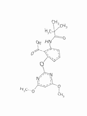 COc1cc(OC)nc(Oc2cccc(NC(=O)C(C)(C)C)c2C(=O)O)n1